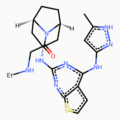 CCNCC(=O)N1[C@@H]2CC[C@H]1C[C@H](Nc1nc(Nc3cc(C)[nH]n3)c3ccsc3n1)C2